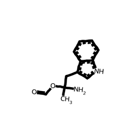 CC(N)(Cc1c[nH]c2ccccc12)OC=O